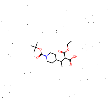 CCOC(=O)C(C(=O)O)C(C)C1CCN(C(=O)OC(C)(C)C)CC1